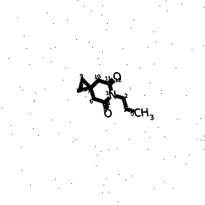 CCCN1C(=O)CC2(CC2)CC1=O